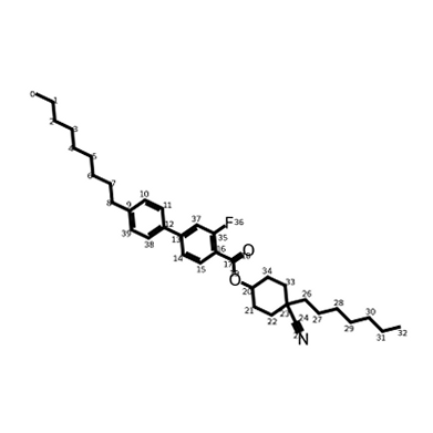 CCCCCCCCCc1ccc(-c2ccc(C(=O)OC3CCC(C#N)(CCCCCCC)CC3)c(F)c2)cc1